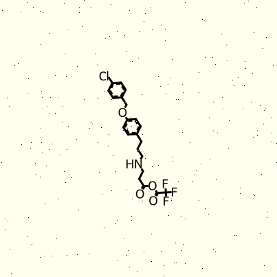 O=C(CCNCCCc1ccc(OCc2ccc(Cl)cc2)cc1)OC(=O)C(F)(F)F